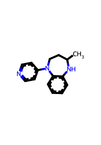 CC1CCN(c2ccncc2)c2ccccc2N1